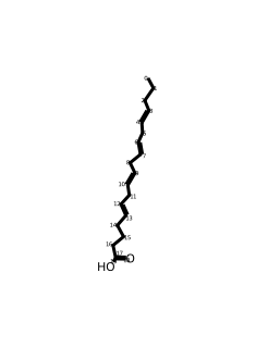 CCCC=CCC=CCC=CCC=CCCCC(=O)O